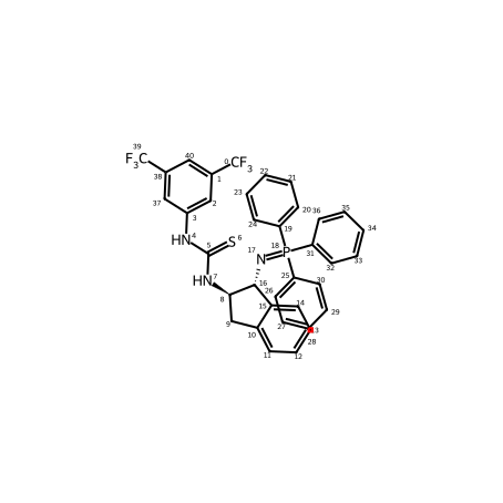 FC(F)(F)c1cc(NC(=S)N[C@@H]2Cc3ccccc3[C@H]2N=P(c2ccccc2)(c2ccccc2)c2ccccc2)cc(C(F)(F)F)c1